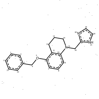 c1ccc(COc2cccc3c2CCCN3Cc2ncc[nH]2)cc1